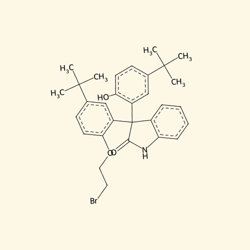 CC(C)(C)c1ccc(O)c(C2(c3cc(C(C)(C)C)ccc3OCCBr)C(=O)Nc3ccccc32)c1